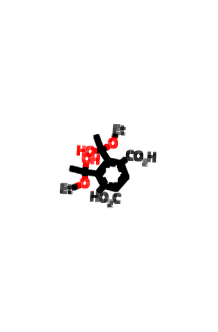 CCOC(C)(O)c1c(C(=O)O)ccc(C(=O)O)c1C(C)(O)OCC